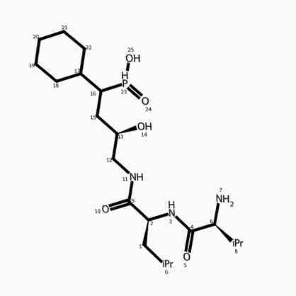 CC(C)C[C@H](NC(=O)[C@@H](N)C(C)C)C(=O)NC[C@H](O)CC(C1CCCCC1)[PH](=O)O